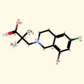 CC(C)(CN1CCc2cc(Cl)cc(Br)c2C1)C(=O)O